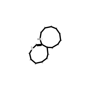 C1=C2/NCCCCCCCCC2CCCCCCC/1